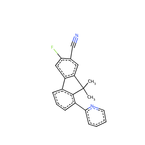 CC1(C)c2cc(C#N)c(F)cc2-c2cccc(-c3ccccn3)c21